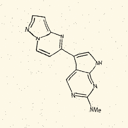 CNc1ncc2c(-c3ccn4nccc4n3)c[nH]c2n1